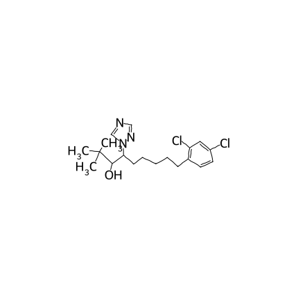 CC(C)(C)C(O)C(CCCCCc1ccc(Cl)cc1Cl)n1cncn1